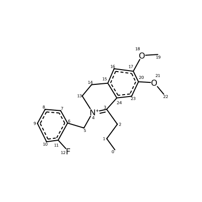 CCCC1=[N+](Cc2ccccc2F)CCc2cc(OC)c(OC)cc21